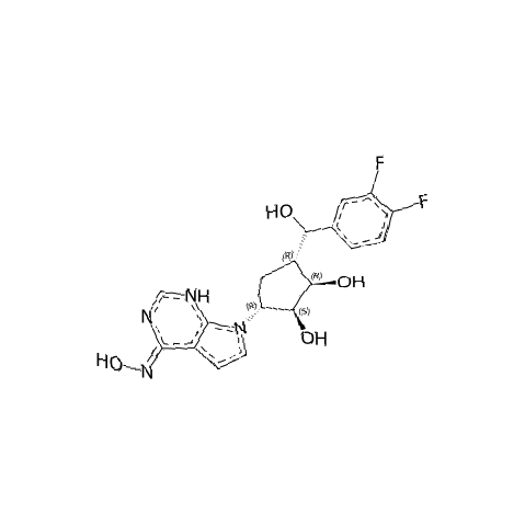 ON=c1nc[nH]c2c1ccn2[C@@H]1C[C@H](C(O)c2ccc(F)c(F)c2)[C@@H](O)[C@H]1O